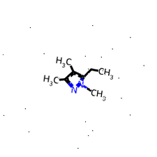 C[CH]c1c(C)c(C)nn1C